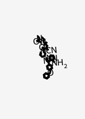 CN1CCN(C(C)(C)/C=C(/C#N)C(=O)N2CCC[C@@H](c3nc(-c4ccc(Oc5ccccc5)cc4)c4c(N)nccn34)C2)CC1=O